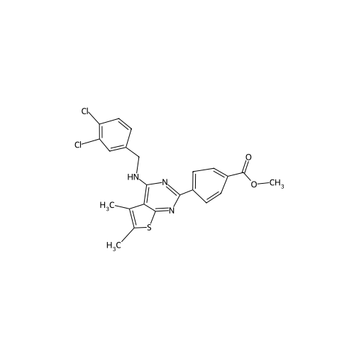 COC(=O)c1ccc(-c2nc(NCc3ccc(Cl)c(Cl)c3)c3c(C)c(C)sc3n2)cc1